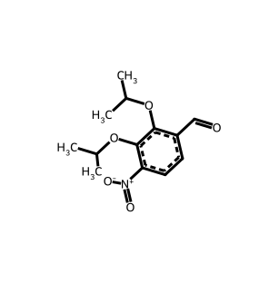 CC(C)Oc1c(C=O)ccc([N+](=O)[O-])c1OC(C)C